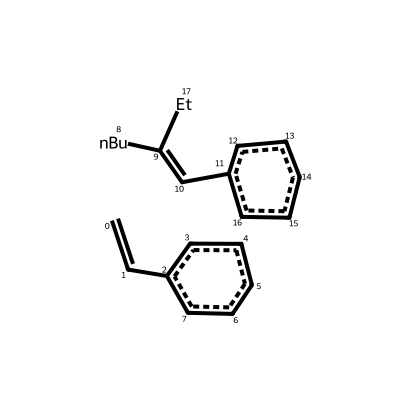 C=Cc1ccccc1.CCCCC(=Cc1ccccc1)CC